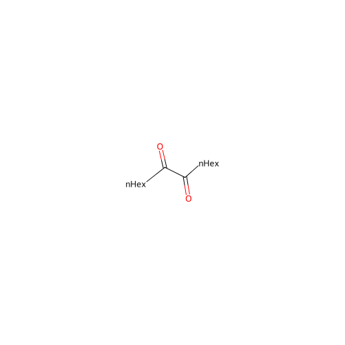 [CH2]CCCCCC(=O)C(=O)CCCCCC